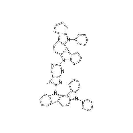 Cn1c(-n2c3ccccc3c3ccc4c(c5ccccc5n4-c4ccccc4)c32)nc2nc(-n3c4ccccc4c4c3ccc3c5ccccc5n(-c5ccccc5)c34)ncc21